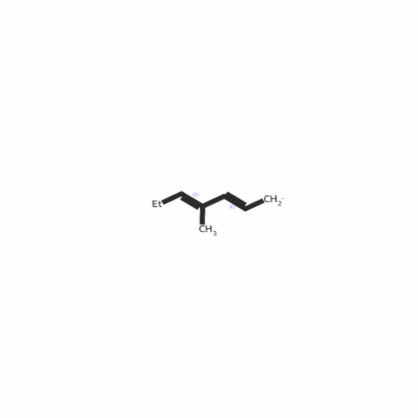 [CH2]/C=C/C(C)=C/CC